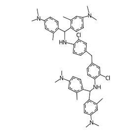 Cc1cc(N(C)C)ccc1C(Nc1ccc(Cc2ccc(NC(c3ccc(N(C)C)cc3C)c3ccc(N(C)C)cc3C)c(Cl)c2)cc1Cl)c1ccc(N(C)C)cc1C